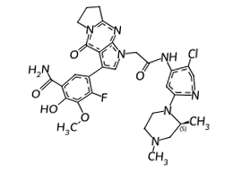 COc1c(O)c(C(N)=O)cc(-c2cn(CC(=O)Nc3cc(N4CCN(C)C[C@@H]4C)ncc3Cl)c3nc4n(c(=O)c23)CCC4)c1F